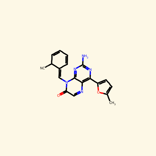 Cc1ccc(-c2nc(N)nc3c2ncc(=O)n3C=C2C=CC=CC2C#N)o1